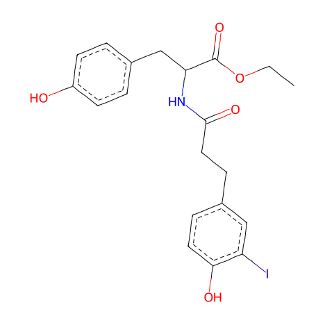 CCOC(=O)C(Cc1ccc(O)cc1)NC(=O)CCc1ccc(O)c(I)c1